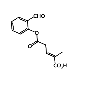 CC(=CCC(=O)Oc1ccccc1C=O)C(=O)O